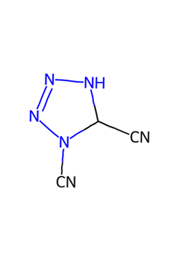 N#CC1NN=NN1C#N